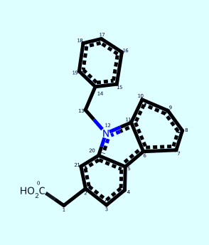 O=C(O)Cc1ccc2c3ccccc3n(Cc3ccccc3)c2c1